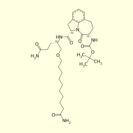 CC(C)(C)OC(=O)N[C@H]1CCc2cccc3c2N(C1=O)[C@H](C(=O)N[C@@H](CCC(N)=O)COCCCCCCCCCC(N)=O)C3